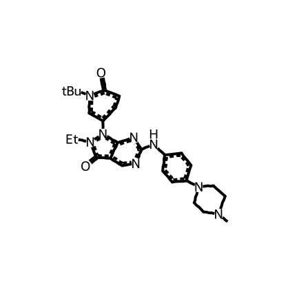 CCn1c(=O)c2cnc(Nc3ccc(N4CCN(C)CC4)cc3)nc2n1-c1ccc(=O)n(C(C)(C)C)c1